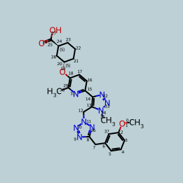 COc1cccc(Cc2nnn(Cc3c(-c4ccc(O[C@H]5CCC[C@H](C(=O)O)C5)c(C)n4)nnn3C)n2)c1